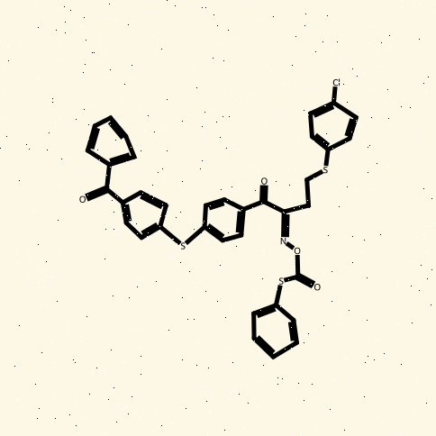 O=C(O/N=C(\CCSc1ccc(Cl)cc1)C(=O)c1ccc(Sc2ccc(C(=O)c3ccccc3)cc2)cc1)Sc1ccccc1